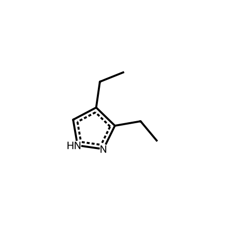 CCc1c[nH]nc1CC